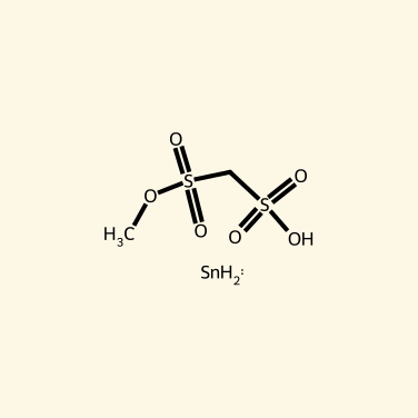 COS(=O)(=O)CS(=O)(=O)O.[SnH2]